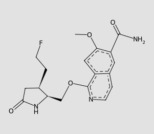 COc1cc2c(OC[C@H]3NC(=O)C[C@H]3CCF)nccc2cc1C(N)=O